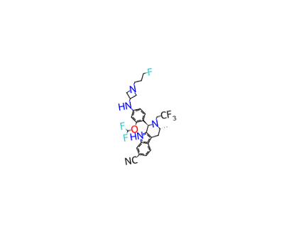 C[C@@H]1Cc2c([nH]c3cc(C#N)ccc23)[C@@H](c2ccc(NC3CN(CCCF)C3)cc2OC(F)F)N1CC(F)(F)F